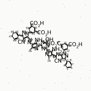 [C-]#[N+]c1c(-c2ccccc2)nn(-c2cc(C(=O)O)cc(C(=O)O)c2)c1N=Nc1c(C)nn(-c2nc(O)nc(-n3nc(C)c(N=Nc4c(C#N)c(C5=CCCC=C5)nn4-c4cc(C(=O)O)cc(C(=O)O)c4)c3N)n2)c1N